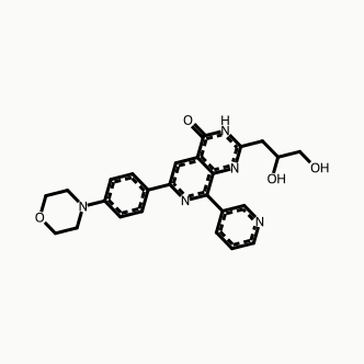 O=c1[nH]c(CC(O)CO)nc2c(-c3cccnc3)nc(-c3ccc(N4CCOCC4)cc3)cc12